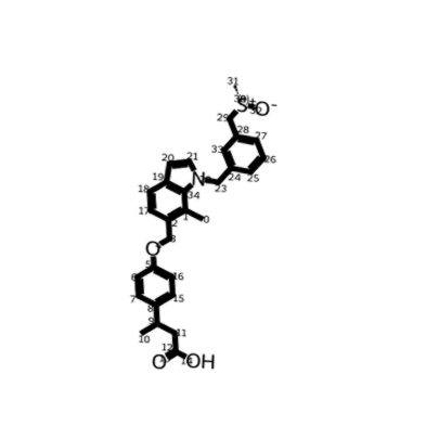 Cc1c(COc2ccc(C(C)CC(=O)O)cc2)ccc2ccn(Cc3cccc(C[S@+](C)[O-])c3)c12